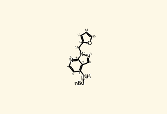 CCCCNc1ccnc2c1cnn2Cc1ccco1